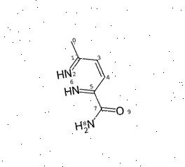 CC(=N)/C=C\C(=N)C(N)=O